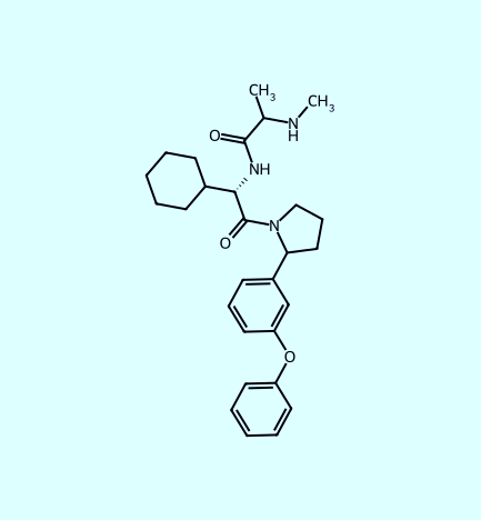 CNC(C)C(=O)N[C@H](C(=O)N1CCCC1c1cccc(Oc2ccccc2)c1)C1CCCCC1